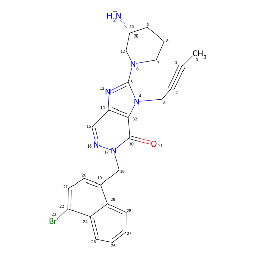 CC#CCn1c(N2CCC[C@@H](N)C2)nc2cnn(Cc3ccc(Br)c4ccccc34)c(=O)c21